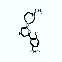 CN1CCCN(c2cncc(-c3cc(C=O)ccc3Cl)n2)CC1